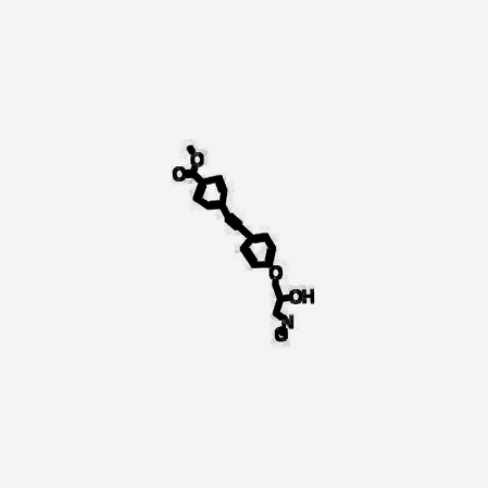 COC(=O)c1ccc(C#Cc2ccc(OCC(O)CN=O)cc2)cc1